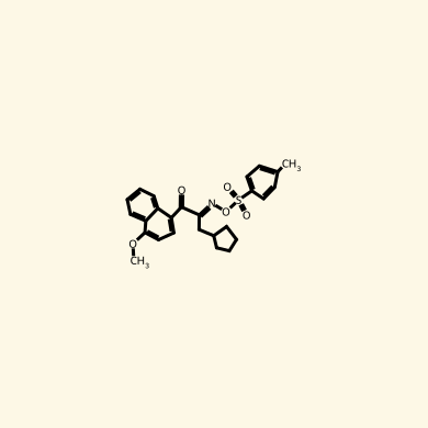 COc1ccc(C(=O)/C(CC2CCCC2)=N/OS(=O)(=O)c2ccc(C)cc2)c2ccccc12